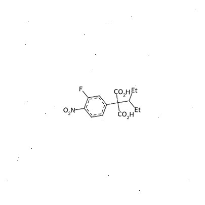 CCC(CC)C(C(=O)O)(C(=O)O)c1ccc([N+](=O)[O-])c(F)c1